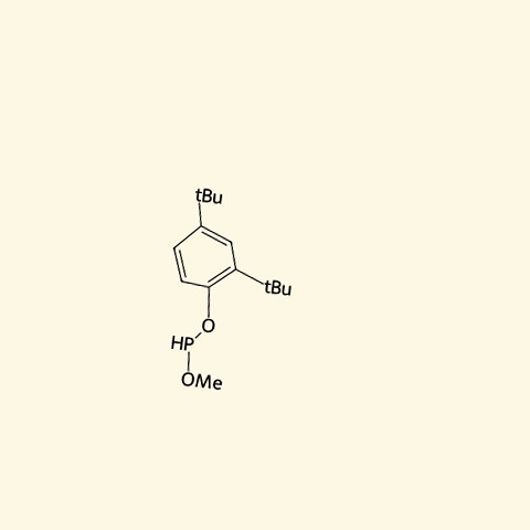 COPOc1ccc(C(C)(C)C)cc1C(C)(C)C